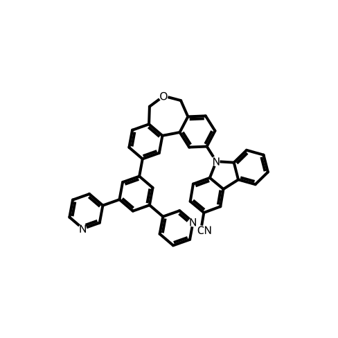 N#Cc1ccc2c(c1)c1ccccc1n2-c1ccc2c(c1)-c1cc(-c3cc(-c4cccnc4)cc(-c4cccnc4)c3)ccc1COC2